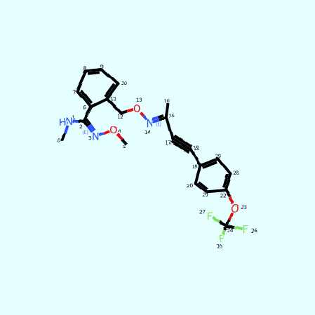 CN/C(=N/OC)c1ccccc1CO/N=C(\C)C#Cc1ccc(OC(F)(F)F)cc1